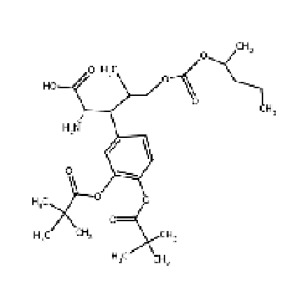 CCCC(C)OC(=O)OCC(C)C(c1ccc(OC(=O)C(C)(C)C)c(OC(=O)C(C)(C)C)c1)[C@H](N)C(=O)O